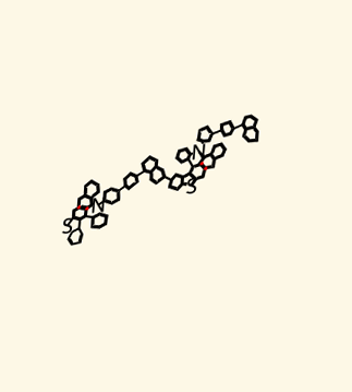 C1=CC2Sc3cccc(-c4ccccc4N(c4ccc(-c5ccc(-c6cccc7cc(-c8ccc9sc%10cccc(-c%11ccccc%11N(c%11cccc(-c%12ccc(-c%13cccc%14ccccc%13%14)cc%12)c%11)c%11cccc%12ccccc%11%12)c%10c9c8)ccc67)cc5)cc4)c4cccc5ccccc45)c3C2C=C1